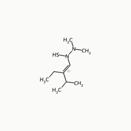 CC/C(=C\N(S)N(C)C)C(C)C